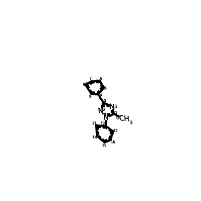 Cc1nc(-c2ccccc2)nn1-c1ccccc1